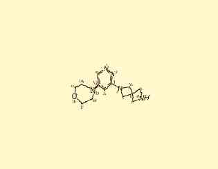 c1nnc(N2CC3(CNC3)C2)cc1N1CCOCC1